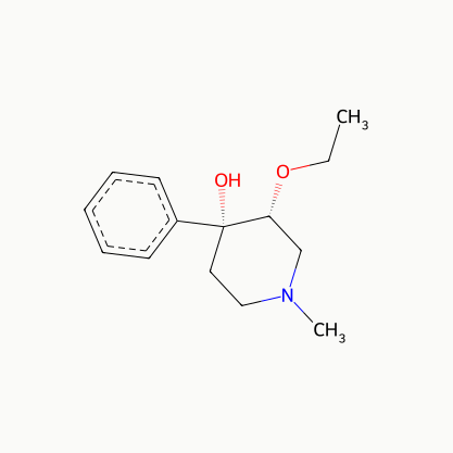 CCO[C@@H]1CN(C)CC[C@@]1(O)c1ccccc1